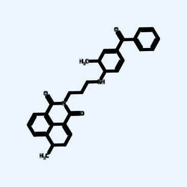 CC1CC=C2C(=O)N(CCCNC3C=CC(C(=O)c4ccccc4)=CC3C)C(=O)c3cccc1c32